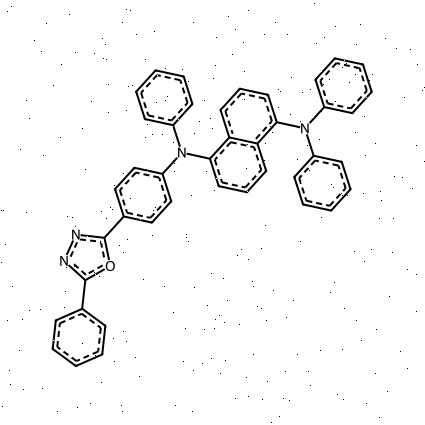 c1ccc(-c2nnc(-c3ccc(N(c4ccccc4)c4cccc5c(N(c6ccccc6)c6ccccc6)cccc45)cc3)o2)cc1